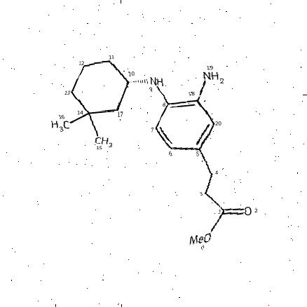 COC(=O)CCc1ccc(N[C@H]2CCCC(C)(C)C2)c(N)c1